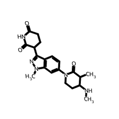 CNC1CCN(c2ccc3c(C4CCC(=O)NC4=O)nn(C)c3c2)C(=O)C1C